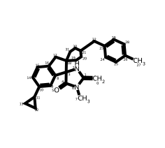 C=C1NC2(C(=O)N1C)c1cc(C3CC3)ccc1CC21CCC(Cc2ccc(C)cc2)CC1